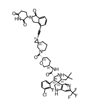 CC(C)(C)C[C@@H]1N[C@@H](C(=O)N[C@@H]2CC[C@@H](C(=O)N3CCC[C@]4(C[C@H]4C#Cc4cccc5c4CN(C4CCC(=O)NC4=O)C5=O)C3)OC2)[C@H](c2cccc(Cl)c2F)[C@]12CNc1cc(C(F)(F)F)ncc12